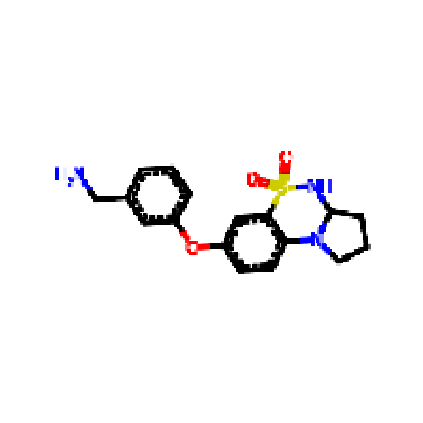 NCc1cccc(Oc2ccc3c(c2)S(=O)(=O)NC2CCCN32)c1